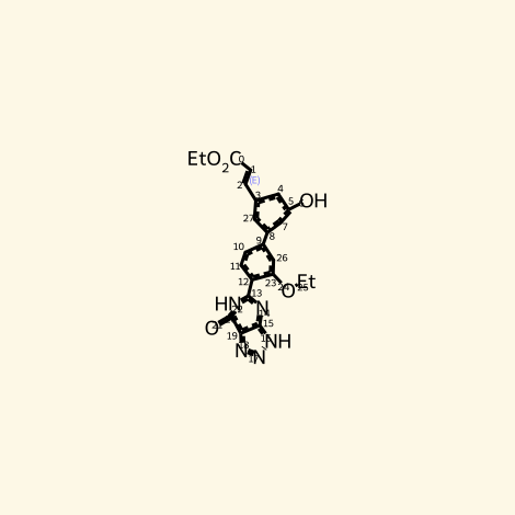 CCOC(=O)/C=C/c1cc(O)cc(-c2ccc(-c3nc4[nH]nnc4c(=O)[nH]3)c(OCC)c2)c1